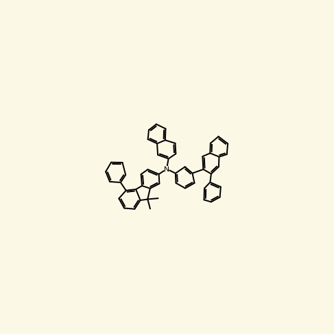 CC1(C)c2cc(N(c3cccc(-c4cc5ccccc5cc4-c4ccccc4)c3)c3ccc4ccccc4c3)ccc2-c2c(-c3ccccc3)cccc21